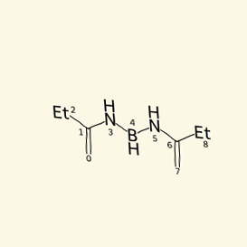 C=C(CC)NBNC(=C)CC